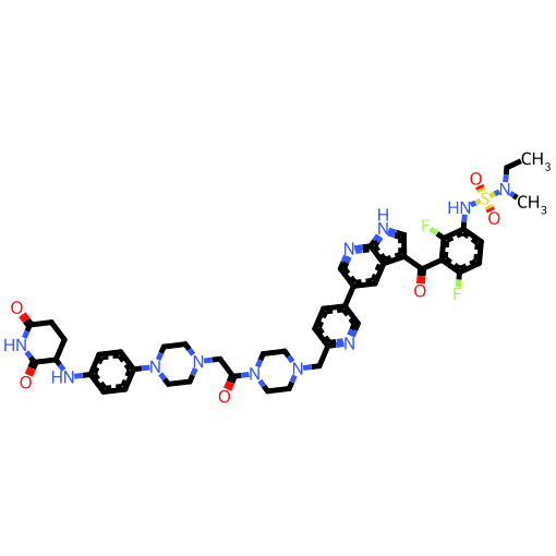 CCN(C)S(=O)(=O)Nc1ccc(F)c(C(=O)c2c[nH]c3ncc(-c4ccc(CN5CCN(C(=O)CN6CCN(c7ccc(NC8CCC(=O)NC8=O)cc7)CC6)CC5)nc4)cc23)c1F